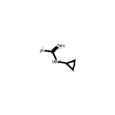 CC(C)C(=N)NC1CC1